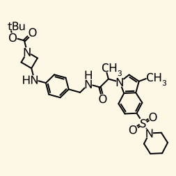 Cc1cn(C(C)C(=O)NCc2ccc(NC3CN(C(=O)OC(C)(C)C)C3)cc2)c2ccc(S(=O)(=O)N3CCCCC3)cc12